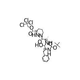 C[C@H](NC(O)[C@H](Cc1ccccc1)NC(=O)OC(C)(C)C)C(=O)N1CCC[C@@H](C(=O)OCC(Cl)(Cl)Cl)N1